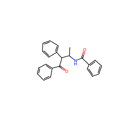 CC(NC(=O)c1ccccc1)C(C(=O)c1ccccc1)c1ccccc1